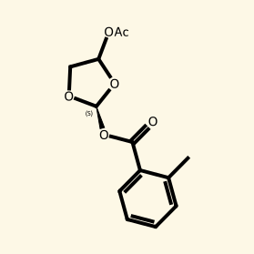 CC(=O)OC1CO[C@H](OC(=O)c2ccccc2C)O1